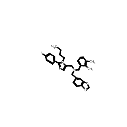 CCCCn1c(CN(Cc2ccc3c(c2)OCO3)Cc2cccc(C)c2C)cnc1-c1ccc(F)cc1